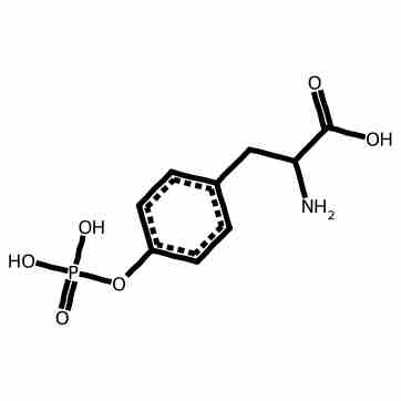 NC(Cc1ccc(OP(=O)(O)O)cc1)C(=O)O